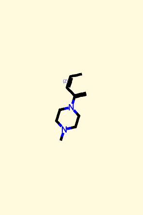 C=C(/C=C\C)N1CCN(C)CC1